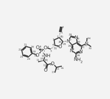 C#C[C@H]1C[C@@H](CO[P@@](=O)(N[C@H](C)C(=O)OC(C)C)Oc2ccccc2)O[C@H]1n1cnc2c(N(C)C)nc(N)nc21